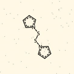 c1ccn(SSn2cccc2)c1